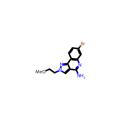 COCCn1cc2c(N)nc3cc(Br)ccc3c2n1